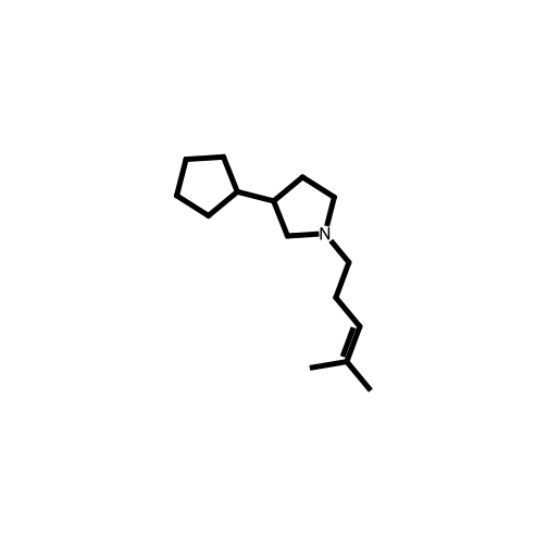 CC(C)=CCCN1CCC([C]2CCCC2)C1